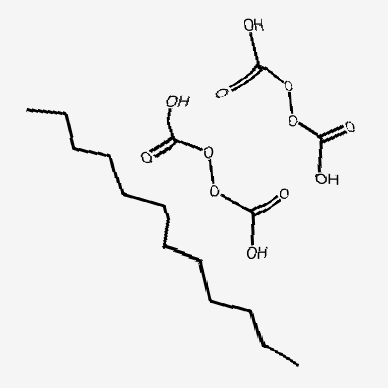 CCCCCCCCCCCC.O=C(O)OOC(=O)O.O=C(O)OOC(=O)O